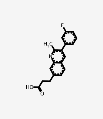 Cc1nc2cc(CCC(=O)O)ccc2cc1-c1cccc(F)c1